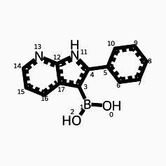 OB(O)c1c(-c2ccccc2)[nH]c2ncccc12